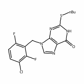 CCCCSc1nc2c(ncn2Cc2c(F)ccc(Cl)c2F)c(=O)[nH]1